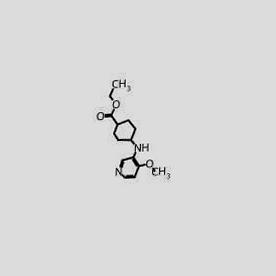 CCOC(=O)C1CCC(Nc2cnccc2OC)CC1